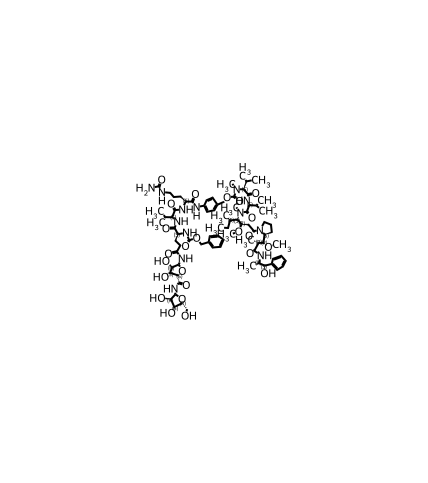 CC[C@H](C)[C@@H]([C@@H](CC(=O)N1CCC[C@H]1[C@H](OC)[C@@H](C)C(=O)N[C@H](C)[C@@H](O)c1ccccc1)OC)N(C)C(=O)[C@@H](NC(=O)[C@H](C(C)C)N(C)C(=O)OCc1ccc(NC(=O)[C@H](CCCNC(N)=O)NC(=O)[C@@H](NC(=O)[C@H](CCC(=O)NC2O[C@H](C(=O)NC3O[C@H](CO)[C@@H](O)[C@H]3O)[C@@H](O)[C@H]2O)NC(=O)OCc2ccccc2)C(C)C)cc1)C(C)C